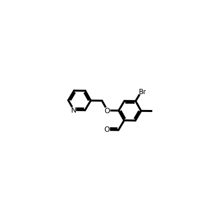 Cc1cc(C=O)c(OCc2cccnc2)cc1Br